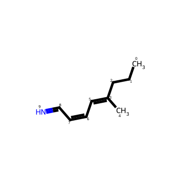 CCC/C(C)=C/C=C\C=N